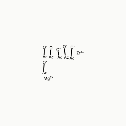 CC(=O)[O-].CC(=O)[O-].CC(=O)[O-].CC(=O)[O-].CC(=O)[O-].CC(=O)[O-].[Mg+2].[Zr+4]